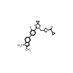 Cc1cc2cc(-c3ccc(C4=NC5(CC5)CN4CC4CN(C(=O)C5CC5)C4)c(F)c3)ccc2n1C